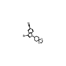 N#Cc1ccc2c(c1)c(Br)cn2C1CCC2(CC1)OCCO2